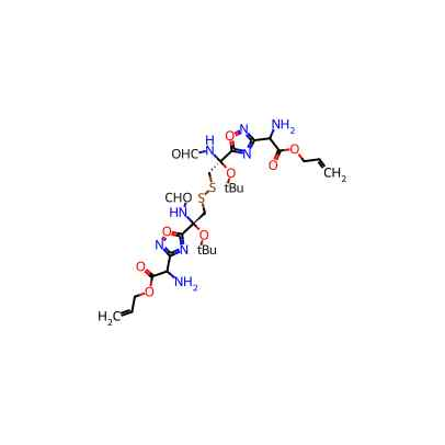 C=CCOC(=O)C(N)c1noc([C@](CSSC[C@@](NC=O)(OC(C)(C)C)c2nc(C(N)C(=O)OCC=C)no2)(NC=O)OC(C)(C)C)n1